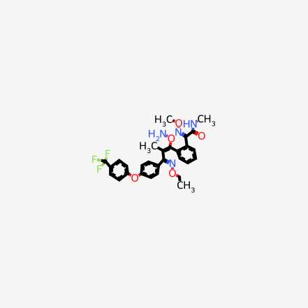 CCON=C(C(C)=C(ON)c1ccccc1C(=NOC)C(=O)NC)c1ccc(Oc2ccc(C(F)(F)F)cc2)cc1